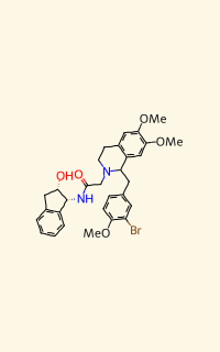 COc1ccc(CC2c3cc(OC)c(OC)cc3CCN2CC(=O)N[C@@H]2c3ccccc3C[C@@H]2O)cc1Br